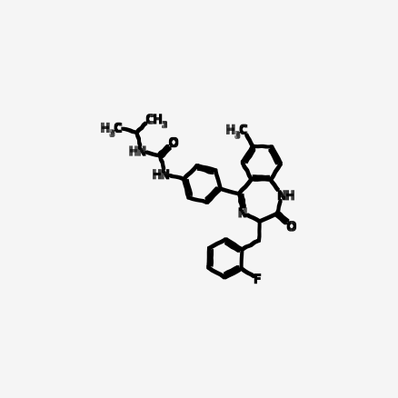 Cc1ccc2c(c1)C(c1ccc(NC(=O)NC(C)C)cc1)=NC(Cc1ccccc1F)C(=O)N2